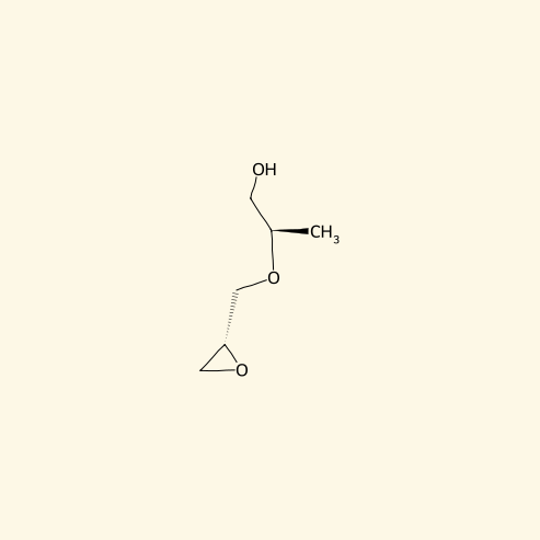 C[C@H](CO)OC[C@H]1CO1